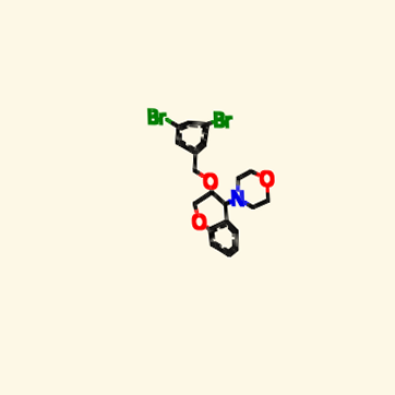 Brc1cc(Br)cc(CO[C@H]2COc3ccccc3[C@@H]2N2CCOCC2)c1